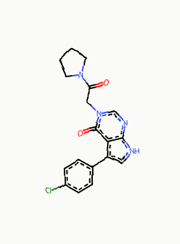 O=C(Cn1cnc2[nH]cc(-c3ccc(Cl)cc3)c2c1=O)N1CCCC1